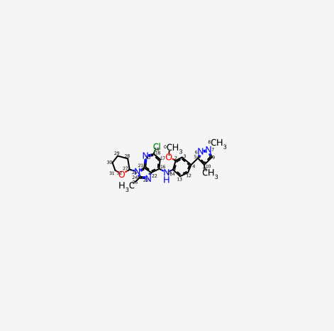 COc1cc(-c2nn(C)cc2C)ccc1Nc1cc(Cl)nc2c1nc(C)n2C1CCCCO1